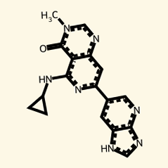 Cn1cnc2cc(-c3cnc4nc[nH]c4c3)nc(NC3CC3)c2c1=O